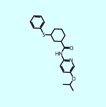 CC(C)Oc1ccc(NC(=O)C2CCCC(Sc3ccccc3)C2)nc1